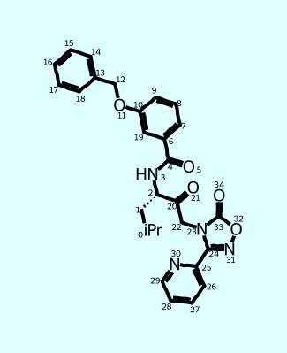 CC(C)C[C@H](NC(=O)c1cccc(OCc2ccccc2)c1)C(=O)Cn1c(-c2ccccn2)noc1=O